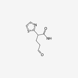 [NH]C(=O)C(CCC=O)c1nccs1